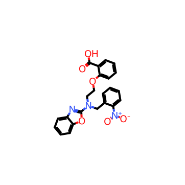 O=C(O)c1ccccc1OCCN(Cc1ccccc1[N+](=O)[O-])c1nc2ccccc2o1